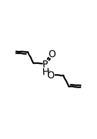 C=CCO[PH](=O)CC=C